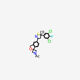 CC(=O)N1CC2(C1)OCc1cc(C3=NS[C@@](c4cc(Cl)c(F)c(Cl)c4)(C(F)(F)F)C3)ccc12